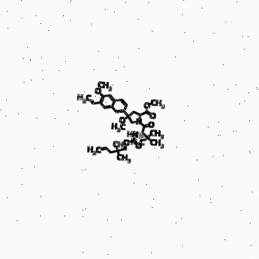 C=CCC(C)(C)COC(=O)N[C@H](C(=O)N1CC(OC)(c2ccc3cc(OC)c(C=C)cc3c2)CC1C(=O)OC)C(C)(C)C